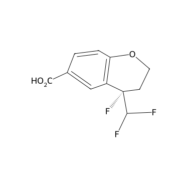 O=C(O)c1ccc2c(c1)[C@](F)(C(F)F)CCO2